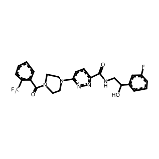 O=C(NCC(O)c1cccc(F)c1)c1ccc(N2CCN(C(=O)c3ccccc3C(F)(F)F)CC2)nn1